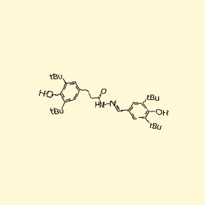 CC(C)(C)c1cc(/C=N/NC(=O)CCc2cc(C(C)(C)C)c(O)c(C(C)(C)C)c2)cc(C(C)(C)C)c1O